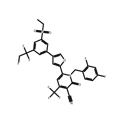 CCS(=O)(=O)c1cc(-c2coc(-c3cc(C(F)(F)F)c(C#N)c(=O)n3Cc3ccc(F)cc3F)c2)cc(C(F)(F)CF)c1